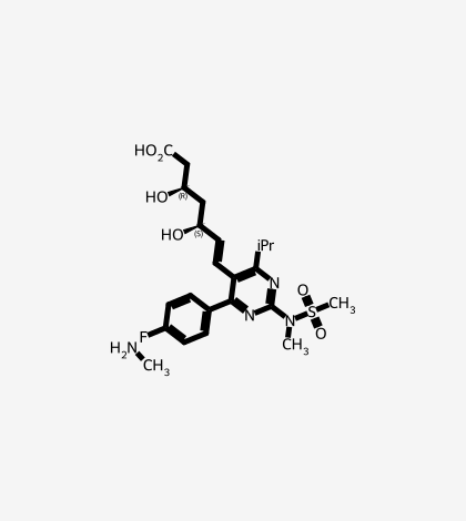 CC(C)c1nc(N(C)S(C)(=O)=O)nc(-c2ccc(F)cc2)c1C=C[C@@H](O)C[C@@H](O)CC(=O)O.CN